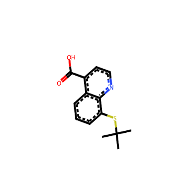 CC(C)(C)Sc1cccc2c(C(=O)O)ccnc12